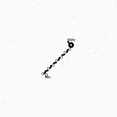 CNCc1cccc(OCCOCCOCCOCCOCCOCCC(=O)OC(C)(C)C)c1